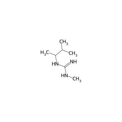 CNC(=N)NC(C)C(C)C